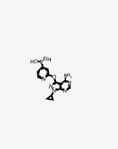 Nc1ncnc2c1c(Oc1cc(B(O)O)ccn1)nn2C1CC1